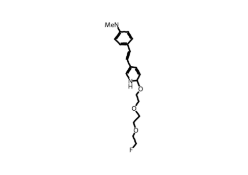 CNc1ccc(/C=C/C2=CNC(OCCOCCOCCF)C=C2)cc1